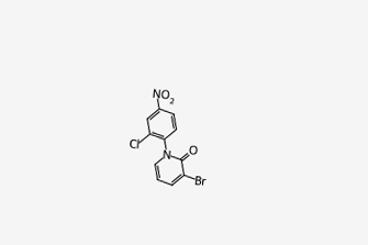 O=c1c(Br)cccn1-c1ccc([N+](=O)[O-])cc1Cl